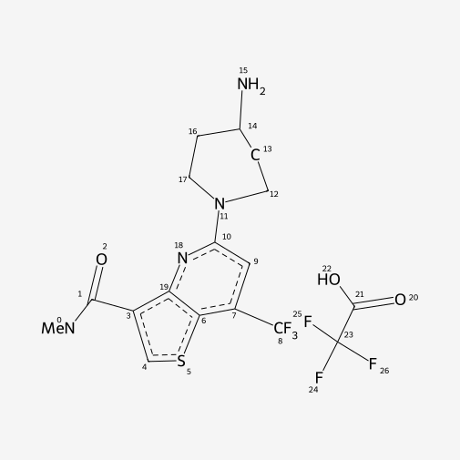 CNC(=O)c1csc2c(C(F)(F)F)cc(N3CCC(N)CC3)nc12.O=C(O)C(F)(F)F